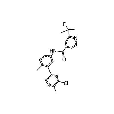 Cc1ccc(NC(=O)c2ccnc(C(C)(C)F)c2)cc1-c1cnc(C)c(Cl)c1